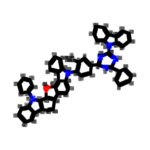 N#Cc1cc(-c2nc(-c3ccccc3)nc(-n3c4ccccc4c4ccccc43)n2)ccc1-n1c2ccccc2c2c3oc4c(ccc5c6ccccc6n(-c6ccccc6)c54)c3ccc21